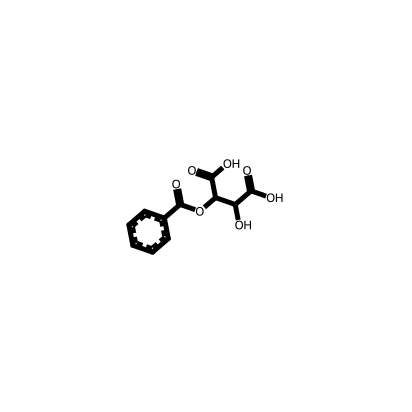 O=C(OC(C(=O)O)C(O)C(=O)O)c1ccccc1